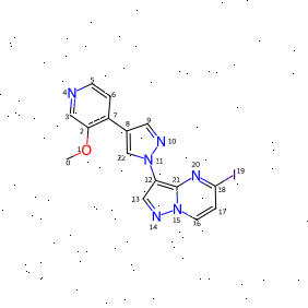 COc1cnccc1-c1cnn(-c2cnn3ccc(I)nc23)c1